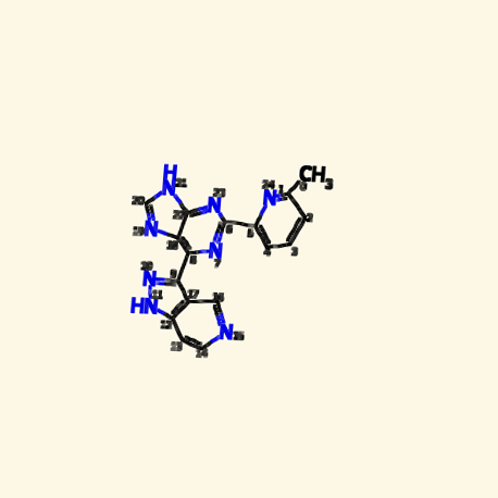 Cc1cccc(-c2nc(-c3n[nH]c4ccncc34)c3nc[nH]c3n2)n1